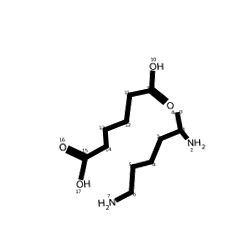 CC(N)CCCCN.O=C(O)CCCCC(=O)O